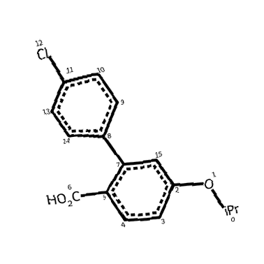 CC(C)Oc1ccc(C(=O)O)c(-c2ccc(Cl)cc2)c1